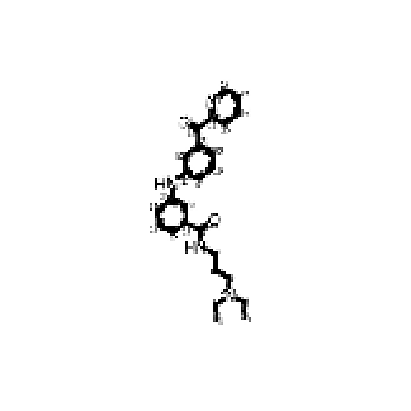 CCN(CC)CCCNC(=O)c1cccc(Nc2cccc(C(=O)c3ccccn3)c2)c1